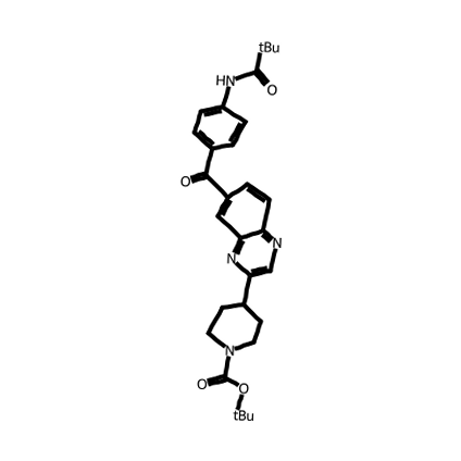 CC(C)(C)OC(=O)N1CCC(c2cnc3ccc(C(=O)c4ccc(NC(=O)C(C)(C)C)cc4)cc3n2)CC1